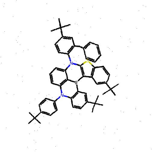 CC(C)(C)c1ccc(N2c3ccc(C(C)(C)C)cc3B3c4c2cccc4N(c2ccc(C(C)(C)C)cc2-c2ccccc2)c2sc4ccc(C(C)(C)C)cc4c23)cc1